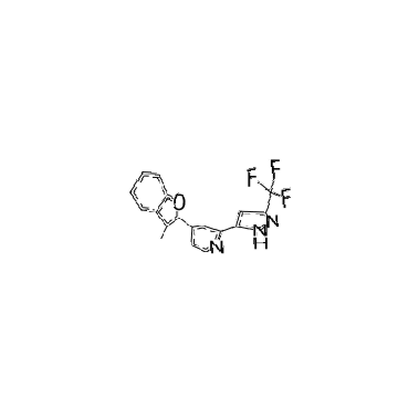 Cc1c(-c2ccnc(-c3cc(C(F)(F)F)n[nH]3)c2)oc2ccccc12